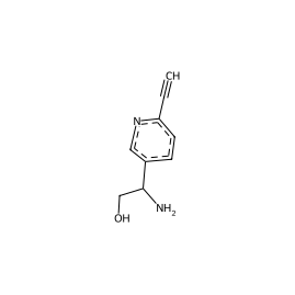 C#Cc1ccc(C(N)CO)cn1